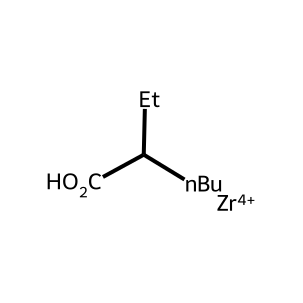 CCCCC(CC)C(=O)O.[Zr+4]